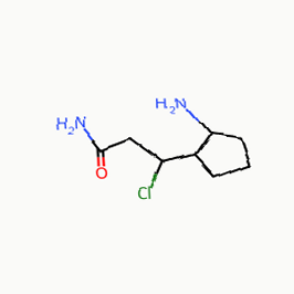 NC(=O)CC(Cl)C1CCCC1N